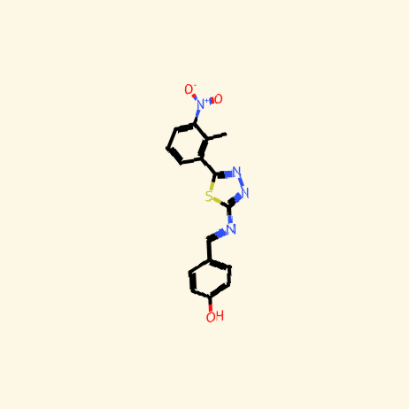 Cc1c(-c2nnc(N=Cc3ccc(O)cc3)s2)cccc1[N+](=O)[O-]